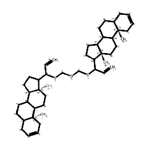 C=CC(SCOCSC(C=C)C1CCC2C3CCC4CC=CC[C@]4(C)C3CC[C@]12C)C1CCC2C3CCC4CC=CC[C@]4(C)C3CC[C@]12C